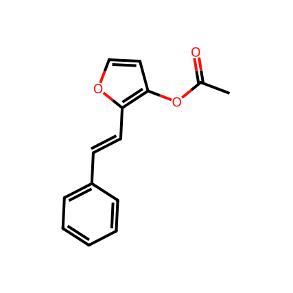 CC(=O)Oc1ccoc1C=Cc1ccccc1